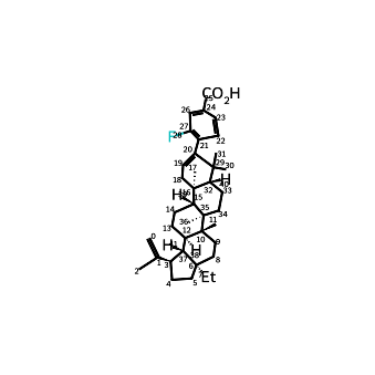 C=C(C)[C@@H]1CC[C@]2(CC)CC[C@]3(C)[C@H](CC[C@@H]4[C@@]5(C)CC=C(c6ccc(C(=O)O)cc6F)C(C)(C)[C@@H]5CC[C@]43C)[C@@H]12